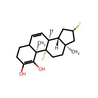 C[C@]12CC[C@]3(F)[C@@H](C=CC4CCC(O)=C(O)[C@@]43C)[C@@H]1C[C@@H](F)C2